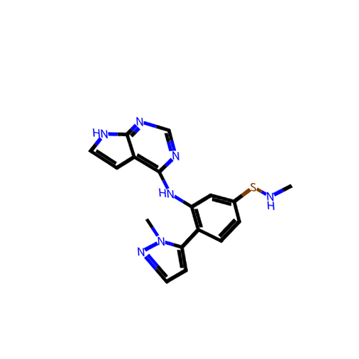 CNSc1ccc(-c2ccnn2C)c(Nc2ncnc3[nH]ccc23)c1